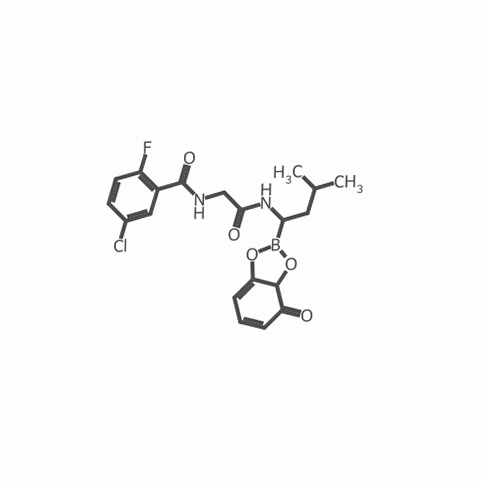 CC(C)CC(NC(=O)CNC(=O)c1cc(Cl)ccc1F)B1OC2=CC=CC(=O)C2O1